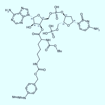 CC(C)(C)OC(=O)NC(CCCCNC(=O)OCc1ccc(N=[N+]=[N-])cc1)C(=O)O[C@H]1[C@@H](O)[C@H](n2cnc3c(N)ncnc32)O[C@H]1COP(=O)(O)O[C@H]1C[C@H](n2ccc(N)nc2=O)O[C@@H]1COP(=O)(O)O